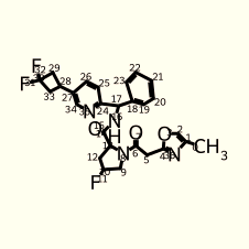 Cc1coc(CC(=O)N2CC(F)CC2C(=O)NC(c2ccccc2)c2ccc(C3CC(F)(F)C3)cn2)n1